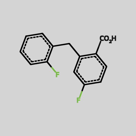 O=C(O)c1ccc(F)cc1Cc1ccccc1F